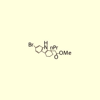 CCCC1(CC(=O)OC)CCCc2c1[nH]c1cc(Br)ccc21